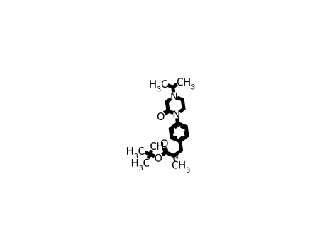 CC(C)N1CCN(c2ccc(C[C@H](C)C(=O)OC(C)(C)C)cc2)C(=O)C1